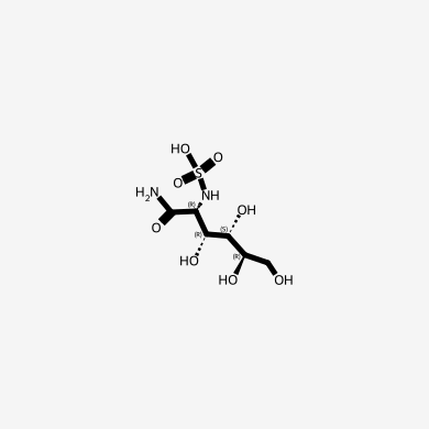 NC(=O)[C@H](NS(=O)(=O)O)[C@@H](O)[C@H](O)[C@H](O)CO